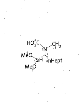 CCCCCCCC(N(C)C(=O)O)[SiH](OC)OC